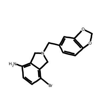 Nc1ccc(Br)c2c1CN(Cc1ccc3c(c1)OCO3)C2